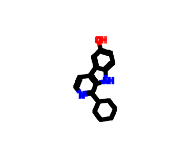 Oc1ccc2[nH]c3c(C4CCCCC4)nccc3c2c1